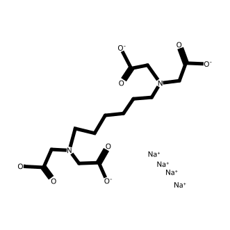 O=C([O-])CN(CCCCCCN(CC(=O)[O-])CC(=O)[O-])CC(=O)[O-].[Na+].[Na+].[Na+].[Na+]